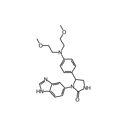 COCCN(CCOC)c1ccc(C2CNC(=O)N2c2ccc3[nH]cnc3c2)cc1